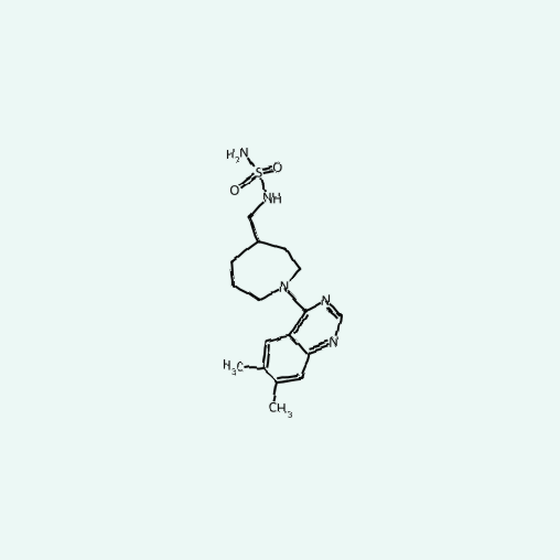 Cc1cc2ncnc(N3CCCC(CNS(N)(=O)=O)CC3)c2cc1C